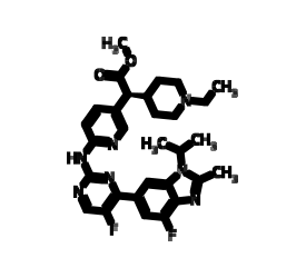 CCN1CCC([C@H](C(=O)OC)c2ccc(Nc3ncc(F)c(-c4cc(F)c5nc(C)n(C(C)C)c5c4)n3)nc2)CC1